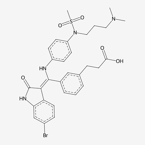 CN(C)CCCN(c1ccc(N/C(=C2\C(=O)Nc3cc(Br)ccc32)c2cccc(CCC(=O)O)c2)cc1)S(C)(=O)=O